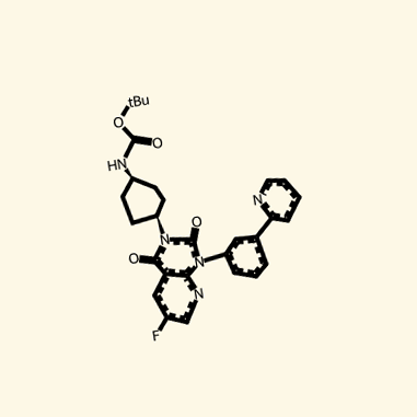 CC(C)(C)OC(=O)N[C@H]1CC[C@@H](n2c(=O)c3cc(F)cnc3n(-c3cccc(-c4ccccn4)c3)c2=O)CC1